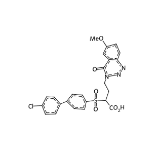 COc1ccc2nnn(CCC(C(=O)O)S(=O)(=O)c3ccc(-c4ccc(Cl)cc4)cc3)c(=O)c2c1